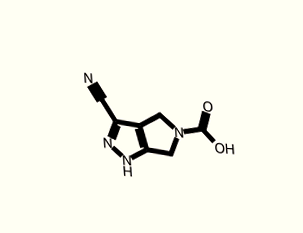 N#Cc1n[nH]c2c1CN(C(=O)O)C2